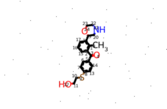 Cc1c(C(=O)c2ccc(SCCO)cc2)cccc1C1CNCCO1